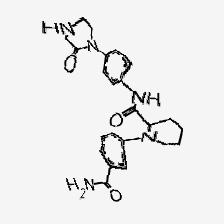 NC(=O)c1cccc(N2CCCCC2C(=O)Nc2ccc(N3CCNCC3=O)cc2)c1